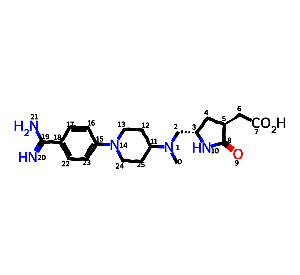 CN(C[C@@H]1C[C@@H](CC(=O)O)C(=O)N1)C1CCN(c2ccc(C(=N)N)cc2)CC1